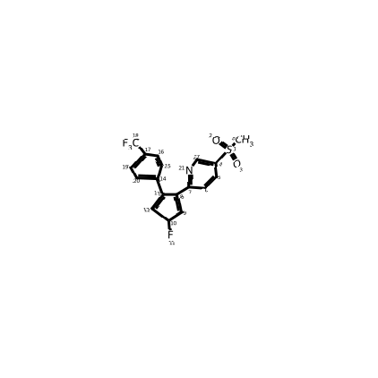 CS(=O)(=O)c1ccc(C2=CC(F)C=C2c2ccc(C(F)(F)F)cc2)nc1